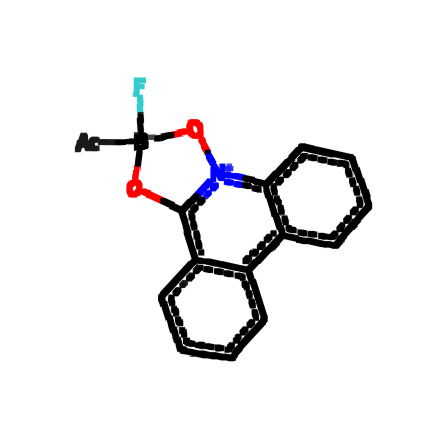 CC(=O)[B-]1(F)Oc2c3ccccc3c3ccccc3[n+]2O1